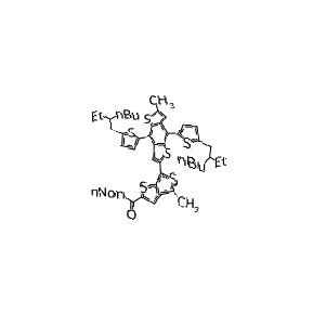 CCCCCCCCCC(=O)c1cc2c(C)sc(-c3cc4c(-c5ccc(CC(CC)CCCC)s5)c5sc(C)cc5c(-c5ccc(CC(CC)CCCC)s5)c4s3)c2s1